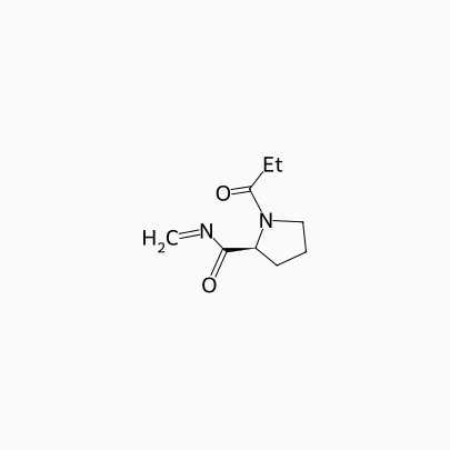 C=NC(=O)[C@@H]1CCCN1C(=O)CC